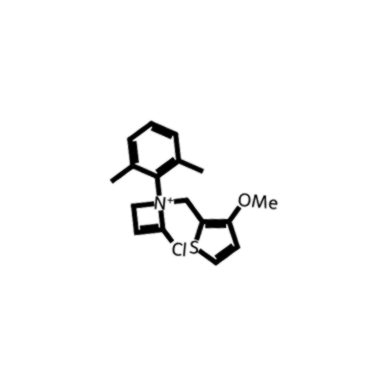 COc1ccsc1C[N+]1(c2c(C)cccc2C)CC=C1Cl